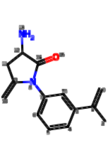 C=C(C)c1cccc(N2C(=C)CC(N)C2=O)c1